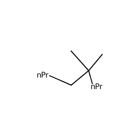 [CH2]CCC(C)(C)CCCC